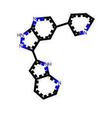 c1cncc(-c2cnc3[nH]nc(-c4cc5cccnc5[nH]4)c3c2)c1